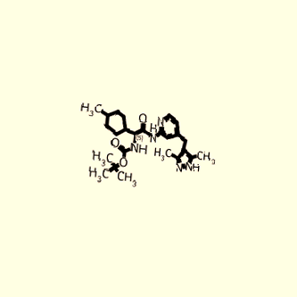 Cc1n[nH]c(C)c1Cc1ccnc(NC(=O)[C@@H](NC(=O)OC(C)(C)C)C2CCC(C)CC2)c1